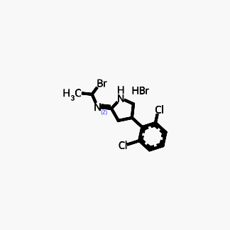 Br.CC(Br)/N=C1/CC(c2c(Cl)cccc2Cl)CN1